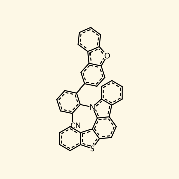 N#Cc1cccc(-c2ccc3oc4ccccc4c3c2)c1-n1c2ccccc2c2ccc3sc4ccccc4c3c21